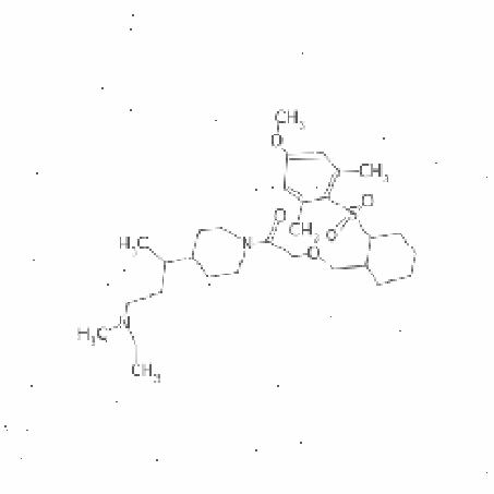 CCN(C)CCC(C)C1CCN(C(=O)COCC2CCCCC2S(=O)(=O)c2c(C)cc(OC)cc2C)CC1